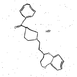 Br.O=C(c1ccccc1)C1CCN(CCC2COc3ccccc3O2)CC1